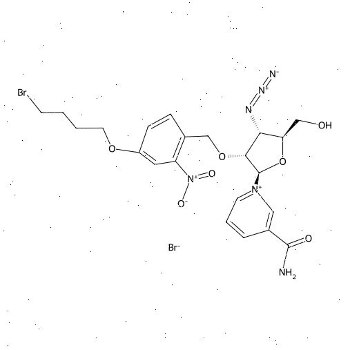 [Br-].[N-]=[N+]=N[C@H]1[C@@H](OCc2ccc(OCCCCBr)cc2[N+](=O)[O-])[C@H]([n+]2cccc(C(N)=O)c2)O[C@@H]1CO